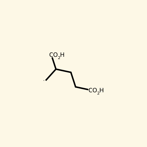 [CH2]C(CCC(=O)O)C(=O)O